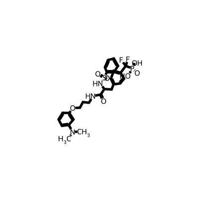 CN(C)c1cccc(OCCCNC(=O)C(Cc2ccc(C(F)(F)P(=O)(O)O)cc2)NS(=O)(=O)c2ccccc2)c1